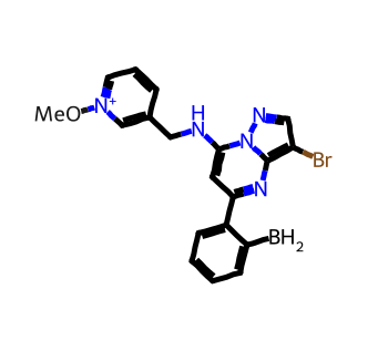 Bc1ccccc1-c1cc(NCc2ccc[n+](OC)c2)n2ncc(Br)c2n1